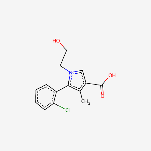 Cc1c(C(=O)O)cn(CCO)c1-c1ccccc1Cl